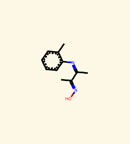 CC(=Nc1ccccc1C)/C(C)=N/O